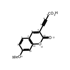 COc1ccc2cc(C#CC(=O)O)c(=O)oc2c1